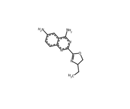 CCC1COC(c2nc(N)c3cc(N)ccc3n2)=N1